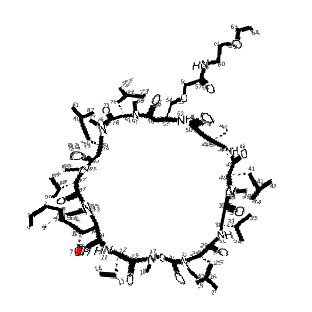 C/C=C\C[C@@H](C)[C@@H](O)C1C(=O)N[C@@H](CC)C(=O)N(C)CC(=O)N(C)[C@@H](CC(C)C)C(=O)N[C@@H](C(C)C)C(=O)N(C)[C@@H](CC(C)C)C(=O)N[C@@H](C)C(=O)N[C@H](COCC(=O)NCCOCC)C(=O)N(C)[C@@H](CC(C)C)C(=O)N(C)[C@@H](CC(C)C)C(=O)N(C)[C@@H](C(C)C)C(=O)N1C